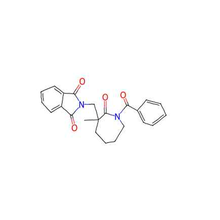 CC1(CN2C(=O)c3ccccc3C2=O)CCCCN(C(=O)c2ccccc2)C1=O